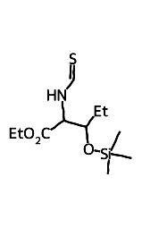 CCOC(=O)C(NC=S)C(CC)O[Si](C)(C)C